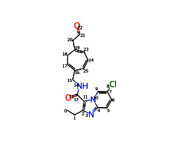 CCc1nc2ccc(Cl)cn2c1C(=O)NCC1=CCC(CC=O)=CC=C1